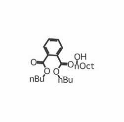 CCCCCCCCO.CCCCOC(=O)c1ccccc1C(=O)OCCCC